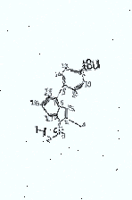 C[SiH2]C1C(C)=Cc2c(-c3ccc(C(C)(C)C)cc3)cccc21